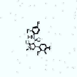 Cc1c(F)ccc([C@H]2CN(C)C(=O)[C@@H]2C(=O)Nc2ccc(F)cc2F)c1F